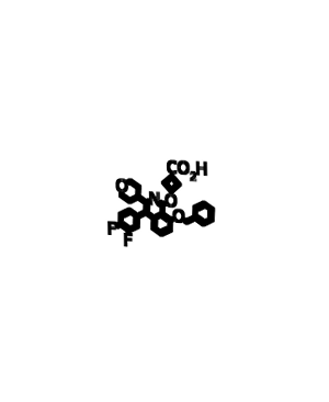 O=C(O)[C@H]1C[C@H](Oc2nc(C3CCOCC3)c(-c3ccc(F)c(F)c3)c3cccc(OCc4ccccc4)c23)C1